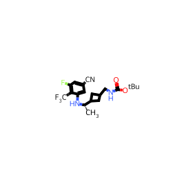 C[C@H](Nc1cc(C#N)cc(F)c1C(F)(F)F)C1CC(CNC(=O)OC(C)(C)C)C1